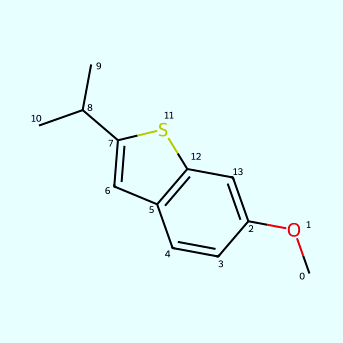 COc1ccc2cc(C(C)C)sc2c1